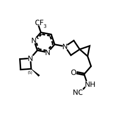 C[C@H]1CCN1c1nc(N2CC3(CC3CC(=O)NC#N)C2)cc(C(F)(F)F)n1